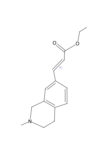 CCOC(=O)/C=C/c1ccc2c(c1)CN(C)CC2